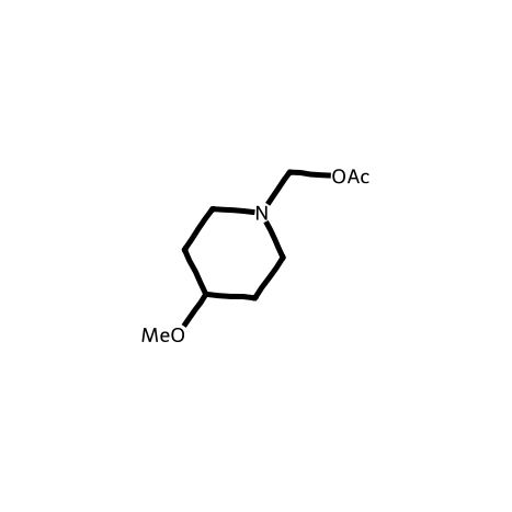 [CH2]OC1CCN(COC(C)=O)CC1